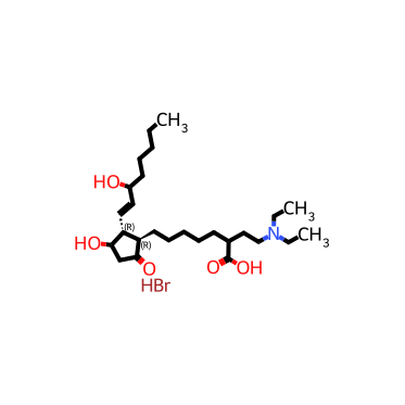 Br.CCCCCC(O)C=C[C@H]1C(O)CC(=O)[C@@H]1CCCCCC(CCN(CC)CC)C(=O)O